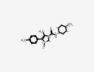 CC1=C(c2ccc(C)cc2)[S+]([O-])CN1C(=O)N[C@H]1CC[C@H](C)CC1